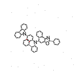 c1ccc(-c2nc3c(cc(N(c4ccc(-n5c6ccccc6c6ccccc65)cc4)c4ccccc4-c4ccccc4)c4ccccc43)o2)cc1